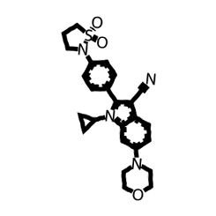 N#Cc1c(-c2ccc(N3CCCS3(=O)=O)cc2)n(C2CC2)c2cc(N3CCOCC3)ccc12